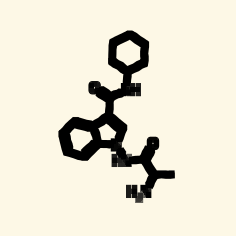 CC(N)C(=O)Nn1cc(C(=O)NC2CCCCC2)c2ccccc21